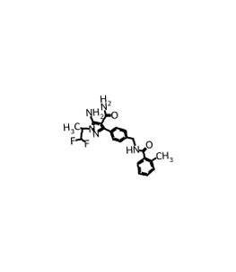 Cc1ccccc1C(=O)NCc1ccc(-c2nn(C(C)C(F)F)c(N)c2C(N)=O)cc1